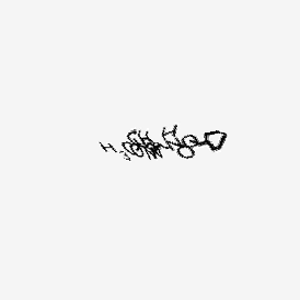 COC(C)c1nnc(CCNC(=O)OCc2ccccc2)o1